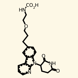 O=C(O)NCCOCCCc1ccc2c(c1)c1cccnc1n2C1CCC(=O)NC1=O